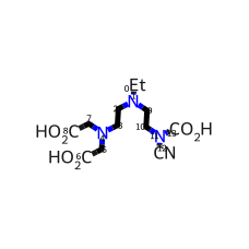 CCN(CCN(CC(=O)O)CC(=O)O)CCN(C#N)C(=O)O